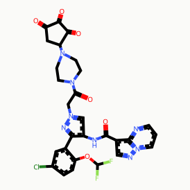 O=C1CC(N2CCN(C(=O)Cn3cc(NC(=O)c4cnn5cccnc45)c(-c4cc(Cl)ccc4OC(F)F)n3)CC2)C(=O)C1=O